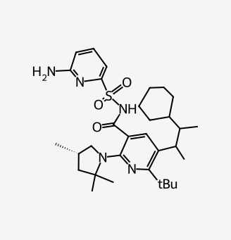 CC(c1cc(C(=O)NS(=O)(=O)c2cccc(N)n2)c(N2C[C@@H](C)CC2(C)C)nc1C(C)(C)C)C(C)C1CCCCC1